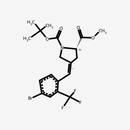 COC(=O)[C@@H]1C/C(=C/c2ccc(Br)cc2C(F)(F)F)CN1C(=O)OC(C)(C)C